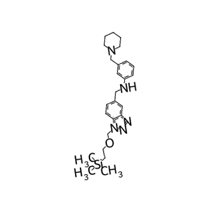 C[Si](C)(C)CCOCn1nnc2cc(CNc3cccc(CN4CCCCC4)c3)ccc21